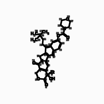 CC[C@@]1(O)C(=O)OCc2c1cc1n(c2=O)Cc2c-1nc1ccc(OC(=O)N3CCOCC3)cc1c2CCS(C)(C)C